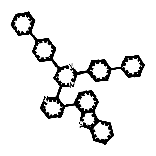 c1ccc(-c2ccc(-c3cc(-c4ncccc4-c4cccc5c4sc4ccccc45)nc(-c4ccc(-c5ccccc5)cc4)n3)cc2)cc1